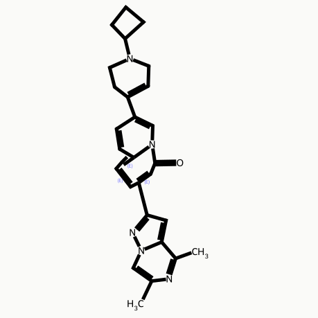 Cc1cn2nc(C3=C\C(=O)N4C=C(C5=CCN(C6CCC6)CC5)C=C\C4=C/C=C/3)cc2c(C)n1